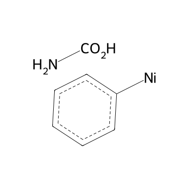 NC(=O)O.[Ni][c]1ccccc1